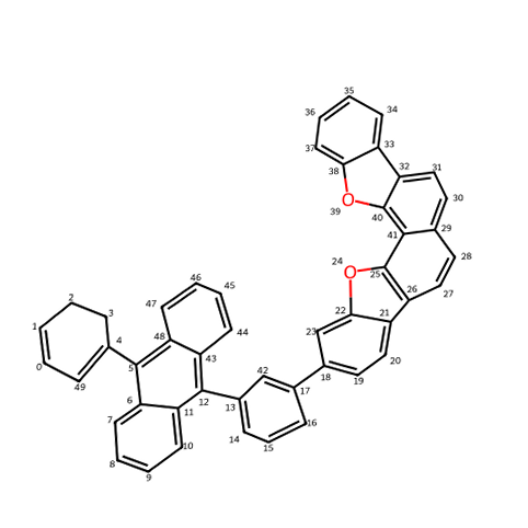 C1=CCCC(c2c3ccccc3c(-c3cccc(-c4ccc5c(c4)oc4c5ccc5ccc6c7ccccc7oc6c54)c3)c3ccccc23)=C1